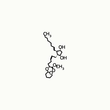 CCCCCC/C=C/[C@@H]1[C@@H](C/C=C\CCC(OC2CCCCO2)C(=O)OC)[C@@H](O)C[C@H]1O